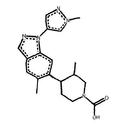 Cc1cc2cnn(-c3cnn(C)c3)c2cc1C1CCN(C(=O)O)CC1C